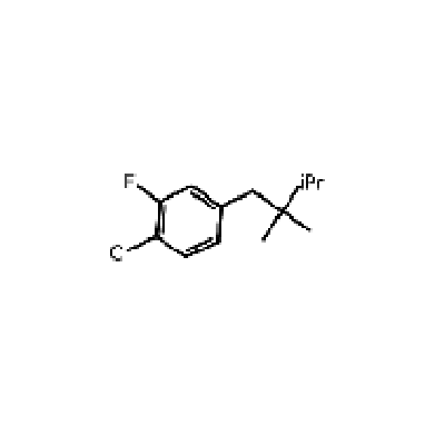 CC(C)C(C)(C)Cc1ccc(Cl)c(F)c1